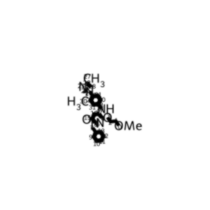 COCCOc1nn(Cc2ccccc2)c(=O)cc1Nc1ccc(-n2cnc(C)c2)c(C)c1